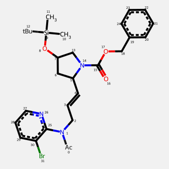 CC(=O)N(CC=CC1CC(O[Si](C)(C)C(C)(C)C)CN1C(=O)OCc1ccccc1)c1ncccc1Br